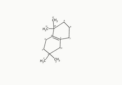 CC1(C)CCC2=C(CCCC2(C)C)C1